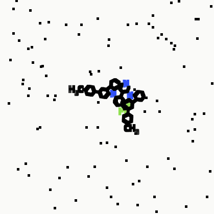 Cc1ccc(-c2ccc3c(c2)c2ccccc2n3-c2ccc(C(F)(F)F)cc2-c2ccncc2-n2c3ccccc3c3cc(-c4ccc(C)cc4)ccc32)cc1